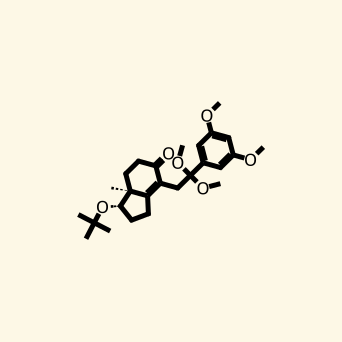 COc1cc(OC)cc(C(CC2=C3CC[C@H](OC(C)(C)C)[C@@]3(C)CCC2=O)(OC)OC)c1